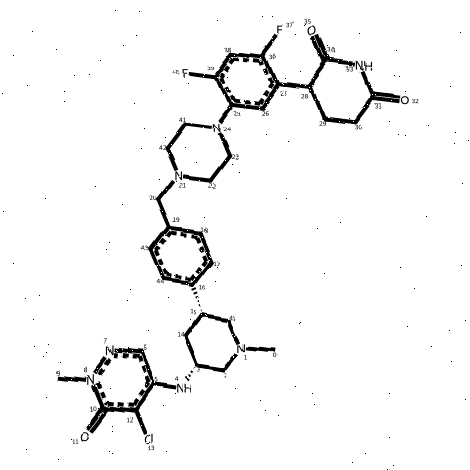 CN1C[C@H](Nc2cnn(C)c(=O)c2Cl)C[C@H](c2ccc(CN3CCN(c4cc(C5CCC(=O)NC5=O)c(F)cc4F)CC3)cc2)C1